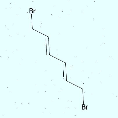 BrC/C=C/C=C/CBr